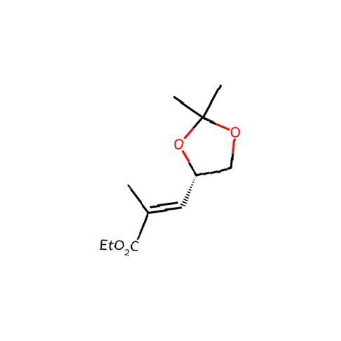 CCOC(=O)/C(C)=C/[C@H]1COC(C)(C)O1